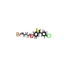 Clc1ccc(-c2csc3cc(OCCCCCBr)ccc23)cc1